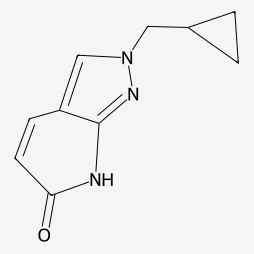 O=c1ccc2cn(CC3CC3)nc2[nH]1